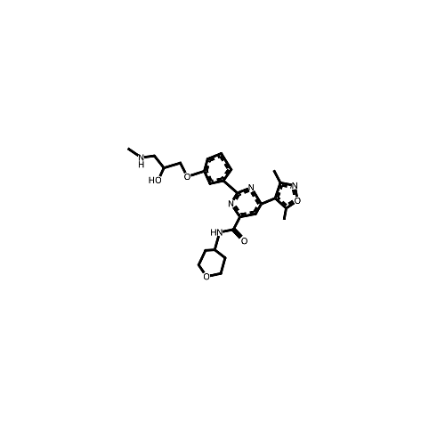 CNCC(O)COc1cccc(-c2nc(C(=O)NC3CCOCC3)cc(-c3c(C)noc3C)n2)c1